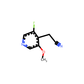 COc1cncc(F)c1CC#N